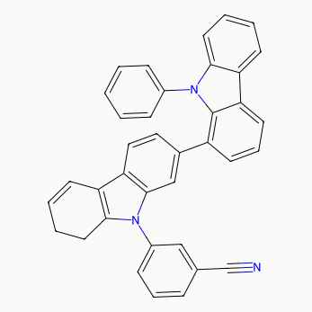 N#Cc1cccc(-n2c3c(c4ccc(-c5cccc6c7ccccc7n(-c7ccccc7)c56)cc42)C=CCC3)c1